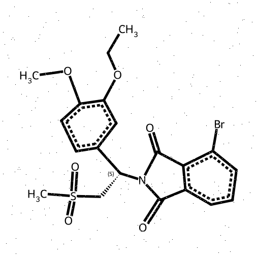 CCOc1cc([C@@H](CS(C)(=O)=O)N2C(=O)c3cccc(Br)c3C2=O)ccc1OC